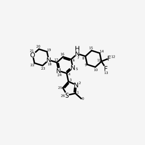 Cc1nc(-c2nc(NC3CCC(F)(F)CC3)cc(N3CCOCC3)n2)cs1